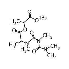 CC(OC(=O)C(C)N(C)C(=O)N(C)C(=O)N(C)C)C(=O)OC(C)(C)C